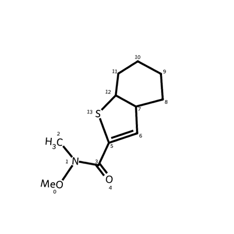 CON(C)C(=O)C1=CC2CCCCC2S1